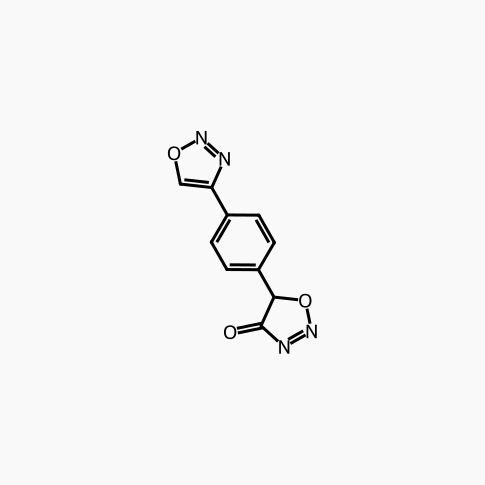 O=C1N=NOC1c1ccc(-c2conn2)cc1